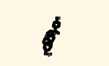 C[C@]12CC[C@H]3[C@@H](CC=C4C=C(C(=O)O)CC[C@]43C)[C@@H]1CC[C@@H]2C(=O)c1ccc(O)cc1